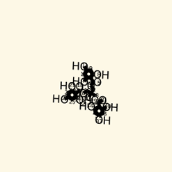 CC(COC(=O)c1c(O)cc(O)cc1O)(COC(=O)c1c(O)cc(O)cc1O)COC(=O)c1c(O)cc(O)cc1O